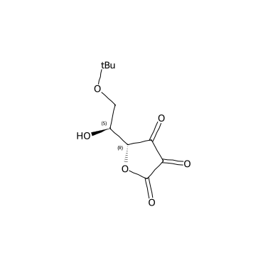 CC(C)(C)OC[C@H](O)[C@H]1OC(=O)C(=O)C1=O